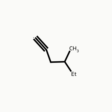 [C]#CCC(C)CC